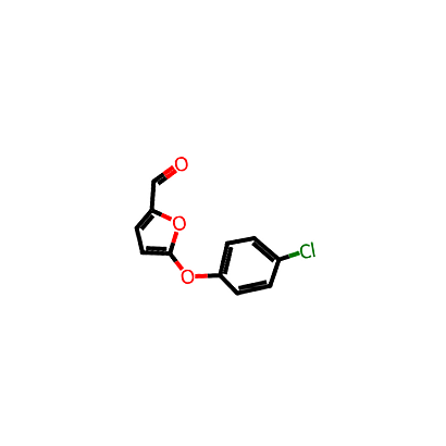 O=Cc1ccc(Oc2ccc(Cl)cc2)o1